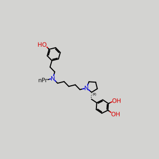 CCCN(CCCCCN1CCC[C@@H]1Cc1ccc(O)c(O)c1)CCc1cccc(O)c1